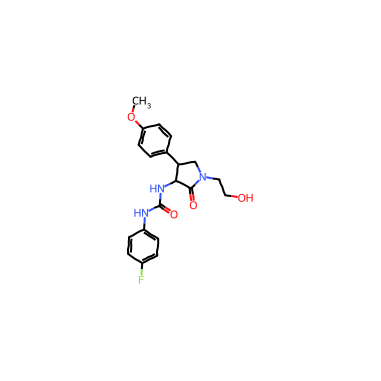 COc1ccc(C2CN(CCO)C(=O)C2NC(=O)Nc2ccc(F)cc2)cc1